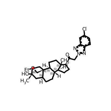 CCOC[C@]12CC[C@@](C)(O)C[C@@H]1CC[C@H]1[C@@H]3CC[C@H](C(=O)Cn4nc5ccc(Cl)cc5n4)[C@@]3(C)CC[C@@H]12